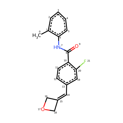 Cc1ccccc1NC(=O)c1ccc(C=C2COC2)cc1F